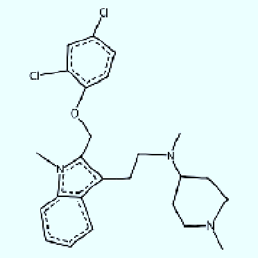 CN1CCC(N(C)CCc2c(COc3ccc(Cl)cc3Cl)n(C)c3ccccc23)CC1